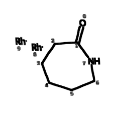 O=C1CCCCCN1.[Rh].[Rh]